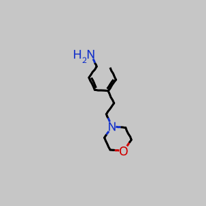 C/C=C(\C=C/CN)CCN1CCOCC1